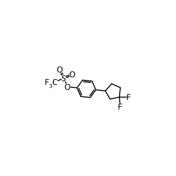 O=S(=O)(Oc1ccc(C2CCC(F)(F)C2)cc1)C(F)(F)F